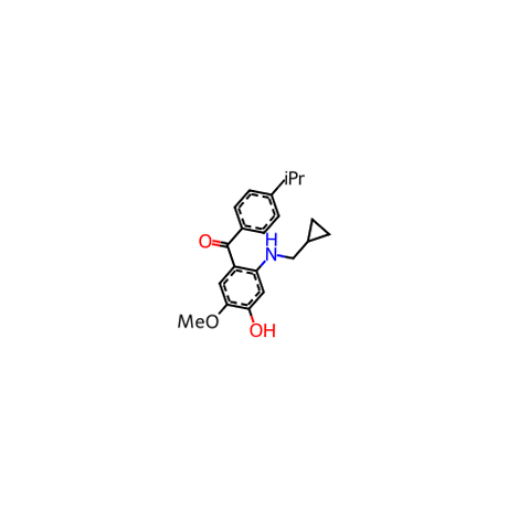 COc1cc(C(=O)c2ccc(C(C)C)cc2)c(NCC2CC2)cc1O